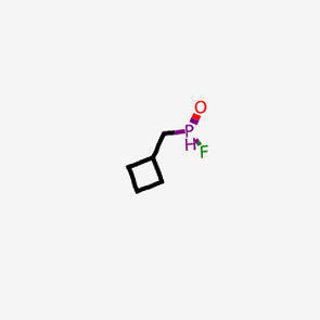 O=[PH](F)CC1CCC1